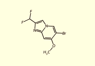 COc1cc2nc(C(F)F)cn2cc1Br